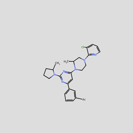 CC(=O)c1cccc(-c2cc(N3CCN(c4ncccc4Cl)CC3C)nc(N3CCCC3C)n2)c1